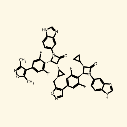 Cc1noc(C)c1-c1cc(F)c([C@H]2[C@@H](C3C[C@H]3Cc3oncc3-c3cc(F)c([C@H]4[C@@H](C5CC5)C(=O)N4c4ccc5[nH]cnc5c4)c(F)c3)C(=O)N2c2ccc3[nH]cnc3c2)c(F)c1